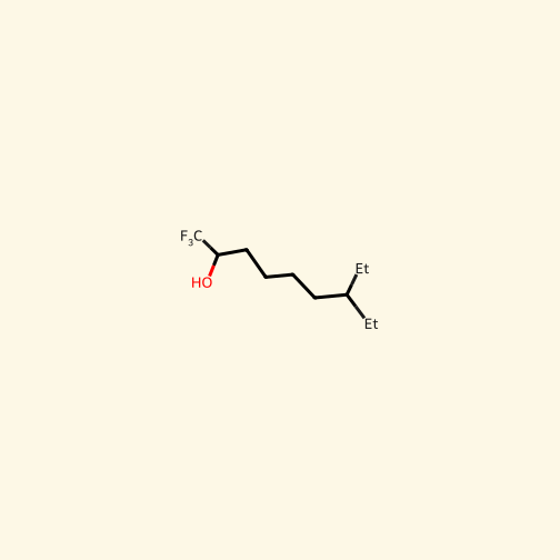 CCC(CC)CCCCC(O)C(F)(F)F